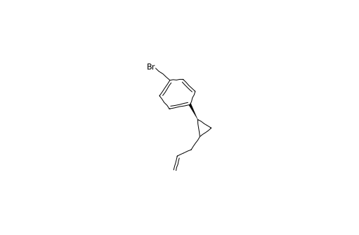 C=CCC1C[C@@H]1c1ccc(Br)cc1